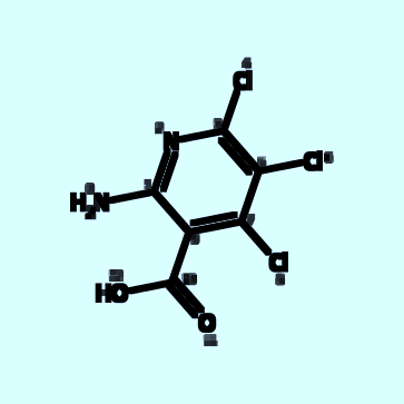 Nc1nc(Cl)c(Cl)c(Cl)c1C(=O)O